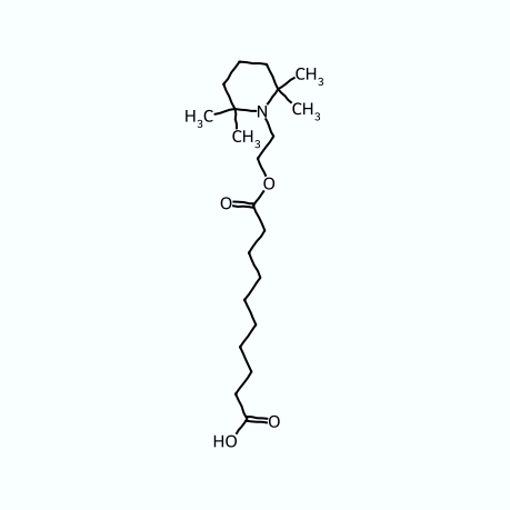 CC1(C)CCCC(C)(C)N1CCOC(=O)CCCCCCCCC(=O)O